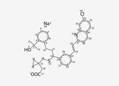 CC(C)(O)c1ccccc1CCC(SCC1(CC(=O)[O-])CC1)c1cccc(/C=C/c2ccc3ccc(Cl)cc3n2)c1.[Na+]